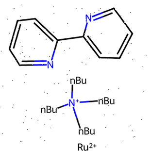 CCCC[N+](CCCC)(CCCC)CCCC.[Ru+2].c1ccc(-c2ccccn2)nc1